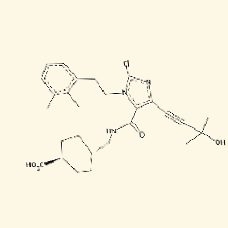 Cc1cccc(CCn2c(Cl)nc(C#CC(C)(C)O)c2C(=O)NC[C@H]2CC[C@H](C(=O)O)CC2)c1C